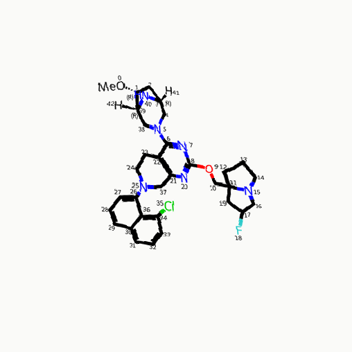 CO[C@@H]1C[C@@H]2CN(c3nc(OCC45CCCN4CC(F)C5)nc4c3CCN(c3cccc5cccc(Cl)c35)C4)C[C@H]1N2